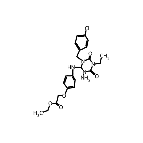 CCOC(=O)COc1ccc(NC2N(N)C(=O)N(CC)C(=O)N2Cc2ccc(Cl)cc2)cc1